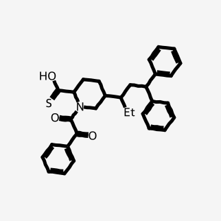 CCC(CC(c1ccccc1)c1ccccc1)C1CCC(C(O)=S)N(C(=O)C(=O)c2ccccc2)C1